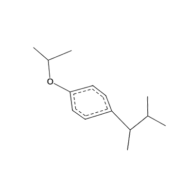 CC(C)Oc1ccc(C(C)C(C)C)cc1